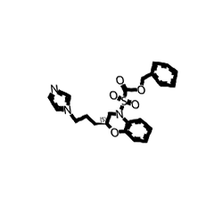 O=C(OCc1ccccc1)S(=O)(=O)N1C[C@H](CCCn2ccnc2)Oc2ccccc21